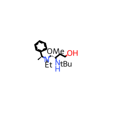 CCN(C[C@H](CCO)NC(C)(C)C)[C@@H](C)c1ccccc1OC